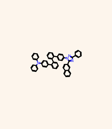 c1ccc(-c2nc(-c3ccc4ccccc4c3)n(-c3ccc(-c4ccccc4-c4ccccc4-c4ccc(N(c5ccccc5)c5ccccc5)cc4)cc3)n2)cc1